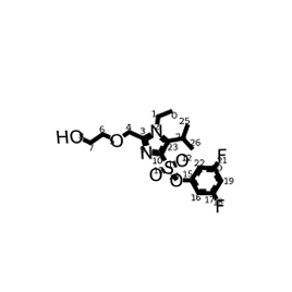 CCn1c(COCCO)nc(S(=O)(=O)Oc2cc(F)cc(F)c2)c1C(C)C